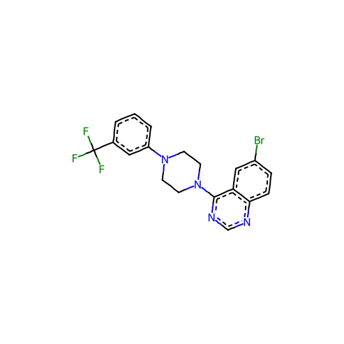 FC(F)(F)c1cccc(N2CCN(c3ncnc4ccc(Br)cc34)CC2)c1